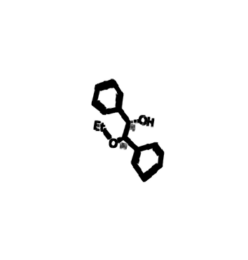 CCO[C@H](c1ccccc1)[C@@H](O)c1ccccc1